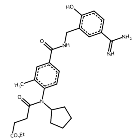 CCOC(=O)CCC(=O)N(c1ccc(C(=O)NCc2cc(C(=N)N)ccc2O)cc1C)C1CCCC1